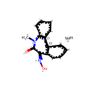 Cn1c(=O)/c(=N/O)c2ccccc2c2ccccc21.[NaH]